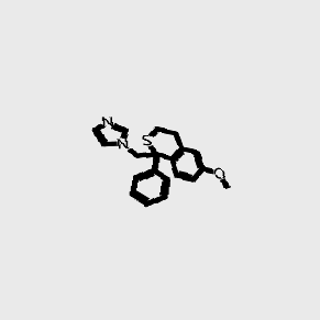 COc1ccc2c(c1)CCSC2(Cn1ccnc1)c1ccccc1